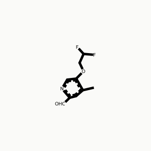 Cc1cc(C=O)ncc1OCC(F)F